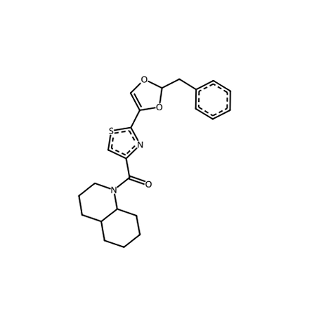 O=C(c1csc(C2=COC(Cc3ccccc3)O2)n1)N1CCCC2CCCCC21